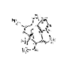 CCCC(C)CP(=O)(O)C(CC)c1c[nH]c2ccccc12